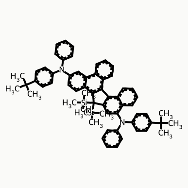 CC(C)(C)c1ccc(N(c2ccccc2)c2ccc3c4c(c5ccccc5c3c2)-c2c(cc(N(c3ccccc3)c3ccc(C(C)(C)C)cc3)c3ccccc23)C4([Si](C)(C)C)[Si](C)(C)C)cc1